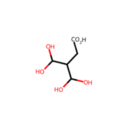 O=C(O)CC(C(O)O)C(O)O